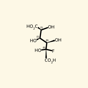 O=C(O)[C@@H](O)[C@H](O)[C@@H](O)[C@@](O)(F)C(=O)O